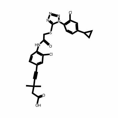 CC(C)(C#Cc1ccc(NC(=O)CSc2nnnn2-c2ccc(C3CC3)cc2Cl)c(Cl)c1)CC(=O)O